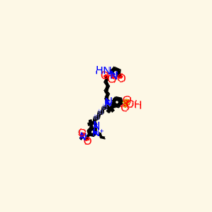 CCC[n+]1cc(C(=O)N(C)OC)cc2c1N=C(/C=C/C=C/C=C1/N(CCCCCC(=O)ON3C(=N)CCC3=O)c3ccc(S(=O)(=O)O)cc3C1(C)C)C2(C)C